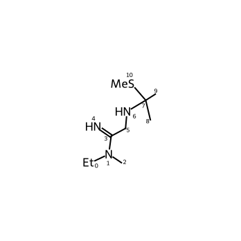 CCN(C)C(=N)CNC(C)(C)SC